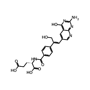 Nc1nc(O)c2cc(C=C(CO)c3ccc(C(=O)N[C@@H](CCC(=O)O)C(=O)O)cc3)cnc2n1